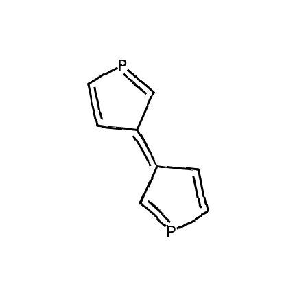 C1=CC(=C2C=CP=C2)C=P1